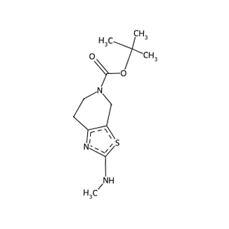 CNc1nc2c(s1)CN(C(=O)OC(C)(C)C)CC2